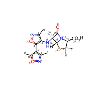 Cc1noc(-c2c(C)noc2C)c1N[C@@]1(C)C(=O)N2[C@@H](C(=O)O)C(C)(C)S[C@@H]21